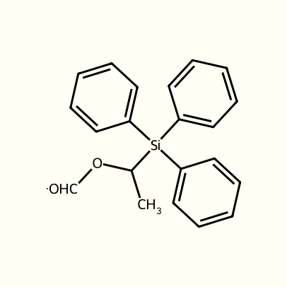 CC(O[C]=O)[Si](c1ccccc1)(c1ccccc1)c1ccccc1